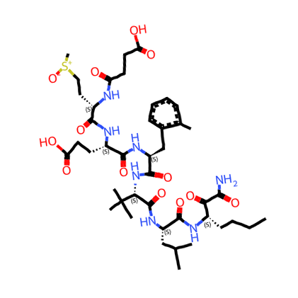 CCCC[C@H](NC(=O)[C@H](CC(C)C)NC(=O)[C@@H](NC(=O)[C@H](Cc1ccccc1C)NC(=O)[C@H](CCC(=O)O)NC(=O)[C@H](CC[S+](C)[O-])NC(=O)CCC(=O)O)C(C)(C)C)C(=O)C(N)=O